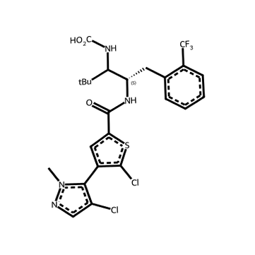 Cn1ncc(Cl)c1-c1cc(C(=O)N[C@@H](Cc2ccccc2C(F)(F)F)C(NC(=O)O)C(C)(C)C)sc1Cl